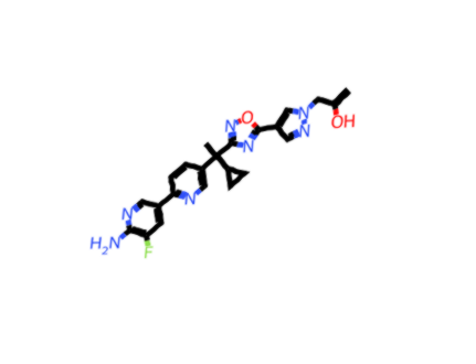 C=C(O)Cn1cc(-c2nc(C(C)(c3ccc(-c4cnc(N)c(F)c4)nc3)C3CC3)no2)cn1